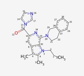 CCCn1c(C)c(C)c2cc(C(=O)n3ccnc3)nc(N3CCc4ccccc4C3)c21